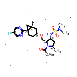 COC(=O)N1[C@H](C)C[C@H](NS(=O)(=O)N(C)C)[C@@H]1CO[C@@H]1CC[C@]2(c3ncc(F)cn3)C[C@@H]2C1